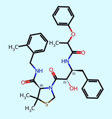 Cc1ccccc1CNC(=O)[C@H]1N(C(=O)[C@@H](O)[C@H](Cc2ccccc2)NC(=O)C(C)Oc2ccccc2)CSC1(C)C